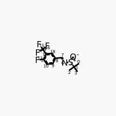 CC(C)(C)[S+]([O-])/N=C/c1ccc(F)c(C(F)(F)F)c1